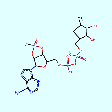 CC1CC(COP(=O)(O)OP(=O)(O)OCC2OC(n3cnc4c(N)ncnc43)C3OP(C)(=O)OC23)C(O)C1O